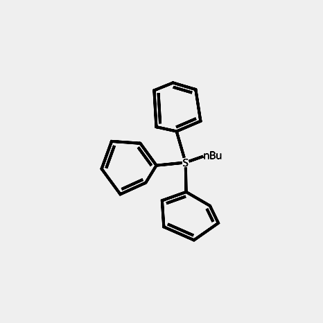 [CH2]CCCS(c1ccccc1)(c1ccccc1)c1ccccc1